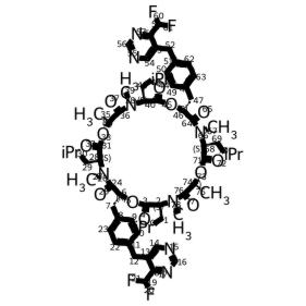 CC(C)C[C@H]1C(=O)O[C@H](Cc2ccc(Cc3cncnc3C(F)F)cc2)C(=O)N(C)[C@@H](CC(C)C)C(=O)O[C@H](C)C(=O)N(C)[C@@H](CC(C)C)C(=O)O[C@H](Cc2ccc(Cc3cncnc3C(F)F)cc2)C(=O)N(C)[C@@H](CC(C)C)C(=O)O[C@H](C)C(=O)N1C